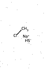 CCl.[Na+].[SH-]